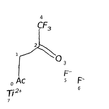 CC(=O)CC(=O)C(F)(F)F.[F-].[F-].[Ti+2]